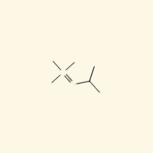 CC(C)N=P(C)(C)C